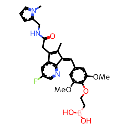 COc1cc(/C=C2/C(C)=C(CC(=O)NCc3cccn3C)c3cc(F)cnc32)cc(OC)c1OCCB(O)O